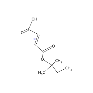 CCC(C)(C)OC(=O)/C=C/C(=O)O